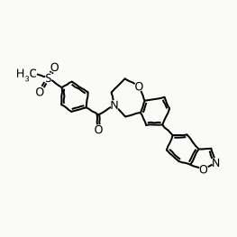 CS(=O)(=O)c1ccc(C(=O)N2CCOc3ccc(-c4ccc5oncc5c4)cc3C2)cc1